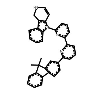 CC1(C)c2ccccc2-c2ccc(-c3cccc(-c4cccc(-n5c6c(c7ccccc75)CNC=C6)n4)n3)cc21